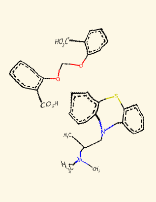 CC(CN1c2ccccc2Sc2ccccc21)N(C)C.O=C(O)c1ccccc1OCOc1ccccc1C(=O)O